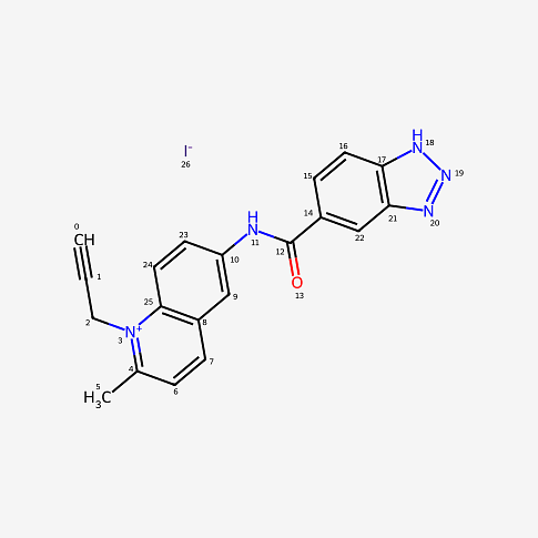 C#CC[n+]1c(C)ccc2cc(NC(=O)c3ccc4[nH]nnc4c3)ccc21.[I-]